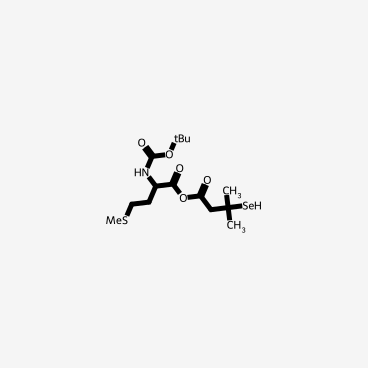 CSCCC(NC(=O)OC(C)(C)C)C(=O)OC(=O)CC(C)(C)[SeH]